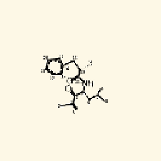 C=C(C)C(=O)[C@H](CC(C)C)NC(=O)[C@@H](C)Cc1ccccc1